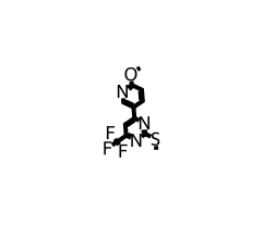 COc1ccc(-c2cc(C(F)(F)F)nc(SC)n2)cn1